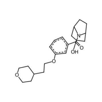 O=C(c1cccc(OCCC2CCOCC2)c1)N1C2CCC1CC(O)C2